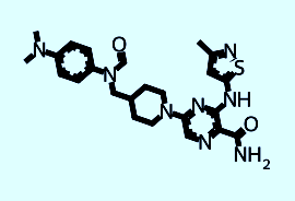 Cc1cc(Nc2nc(N3CCC(CN(C=O)c4ccc(N(C)C)cc4)CC3)cnc2C(N)=O)sn1